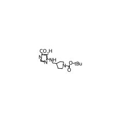 CC(C)(C)OC(=O)N1CCC(CNc2cc(C(=O)O)ncn2)CC1